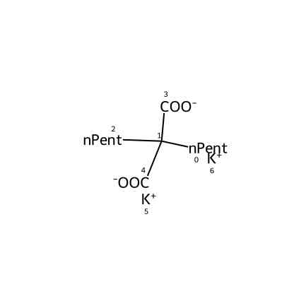 CCCCCC(CCCCC)(C(=O)[O-])C(=O)[O-].[K+].[K+]